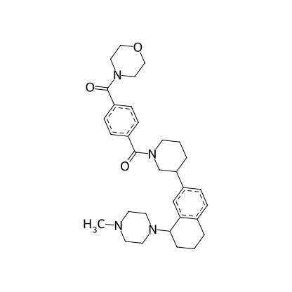 CN1CCN(C2CCCc3ccc(C4CCCN(C(=O)c5ccc(C(=O)N6CCOCC6)cc5)C4)cc32)CC1